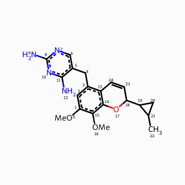 COc1cc(Cc2cnc(N)nc2N)c2c(c1OC)OC(C1CC1C)C=C2